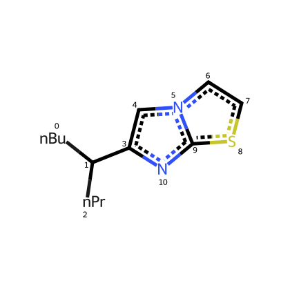 CCCCC(CCC)c1cn2ccsc2n1